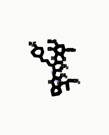 C=CC(=O)Nc1ccccc1NC(/C=C(\N=C)N(CCCN1CCN(C)CC1)C(=O)Nc1c(Cl)c(OC)cc(OC)c1Cl)=N/C